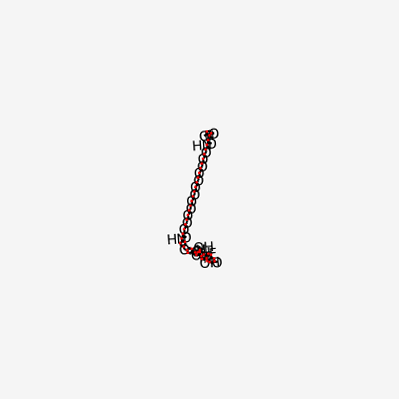 C[C@]12C=CC(=O)C=C1[C@@H](F)C[C@H]1[C@@H]3C[C@H]4OC(c5ccc(Oc6ccc(NC(=O)CCOCCOCCOCCOCCOCCOCCOCCOCCOCCOCCOCCOCCNC(=O)CCN7C(=O)C=CC7=O)cc6)cc5)O[C@@]4(C(=O)CO)[C@@]3(C)C[C@H](O)[C@@]12F